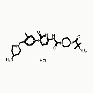 Cc1cc(-n2ccc(NC(=O)N3CCN(C(=O)C(C)(C)N)CC3)nc2=O)ccc1CN1CCC(N)CC1.Cl